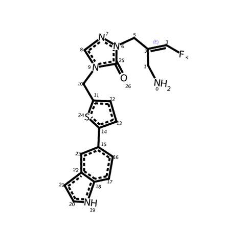 NC/C(=C\F)Cn1ncn(Cc2ccc(-c3ccc4[nH]ccc4c3)s2)c1=O